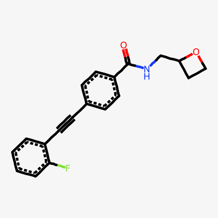 O=C(NCC1CCO1)c1ccc(C#Cc2ccccc2F)cc1